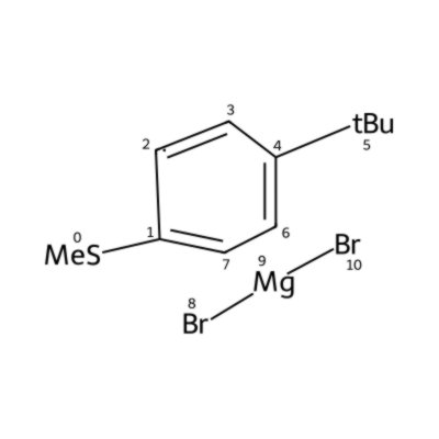 CSc1[c]cc(C(C)(C)C)cc1.[Br][Mg][Br]